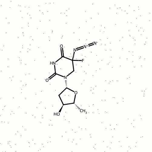 C[C@H]1O[C@@H](N2CC(F)(N=[N+]=[N-])C(=O)NC2=O)C[C@@H]1O